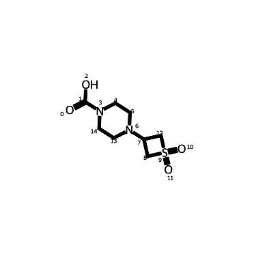 O=C(O)N1CCN(C2CS(=O)(=O)C2)CC1